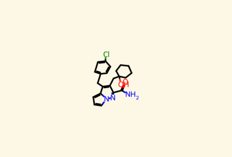 NC(=O)c1nn2cccc2c(Cc2ccc(Cl)cc2)c1CC1(O)CCCCC1